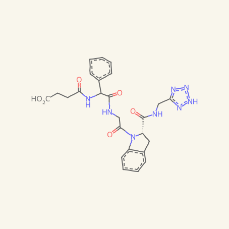 O=C(O)CCC(=O)NC(C(=O)NCC(=O)N1c2ccccc2C[C@H]1C(=O)NCc1nn[nH]n1)c1ccccc1